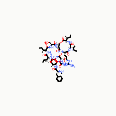 CCC(C)[C@@H]1NC(=O)[C@H](CCCNC(=N)N)NC(=O)[C@H](NC(=O)[C@H](CO)NC(=O)[C@@H](NC(=O)[C@H](NC(=O)[C@@H](CCC(N)=O)NC(=O)[C@H](CO)NC(=O)[C@@H](NC(=O)[C@@H](Cc2ccccc2)NC)[C@@H](C)CC)[C@H](C)CC)[C@@H](C)CC)[C@H](C)OC(=O)[C@H]([C@@H](C)CC)NC1=O